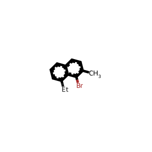 CCc1cccc2ccc(C)c(Br)c12